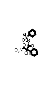 CC(C(=O)OOS(=O)(=O)c1ccccc1)(C(=O)[N+](=O)[O-])c1ccccc1